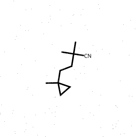 CC(C)(C#N)CCC1(C)CC1